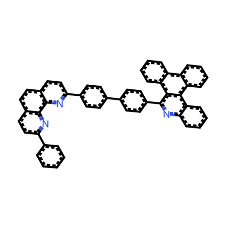 c1ccc(-c2ccc3ccc4ccc(-c5ccc(-c6ccc(-c7nc8ccccc8c8c9ccccc9c9ccccc9c78)cc6)cc5)nc4c3n2)cc1